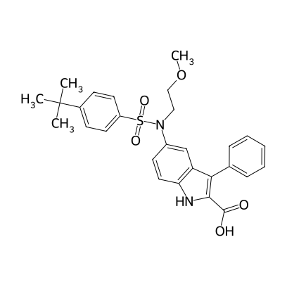 COCCN(c1ccc2[nH]c(C(=O)O)c(-c3ccccc3)c2c1)S(=O)(=O)c1ccc(C(C)(C)C)cc1